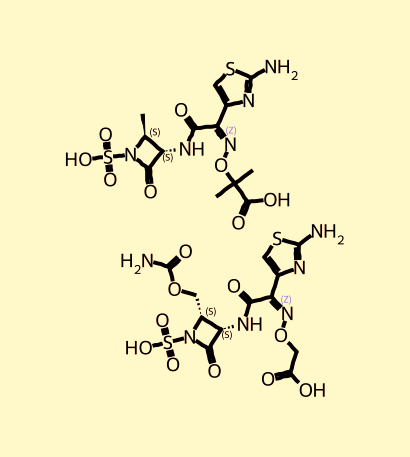 C[C@H]1[C@H](NC(=O)/C(=N\OC(C)(C)C(=O)O)c2csc(N)n2)C(=O)N1S(=O)(=O)O.NC(=O)OC[C@@H]1[C@H](NC(=O)/C(=N\OCC(=O)O)c2csc(N)n2)C(=O)N1S(=O)(=O)O